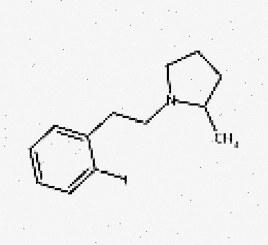 CC1CCCN1CCc1ccccc1F